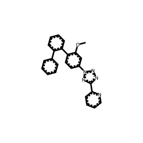 COc1cc(-n2nnc(-c3ccccn3)n2)ccc1-c1ccccc1-c1ccccc1